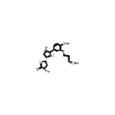 COCCCOc1cc(C2NC([C@@H]3C[C@@H](C(C)C)C(=O)O3)C[C@H]2C(C)C)ccc1OC